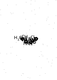 C[C@@H]1CN(c2ccc(Nc3ncc4c(n3)N(C)CN(c3c(Cl)cccc3Cl)C4=O)cc2F)CCN1C